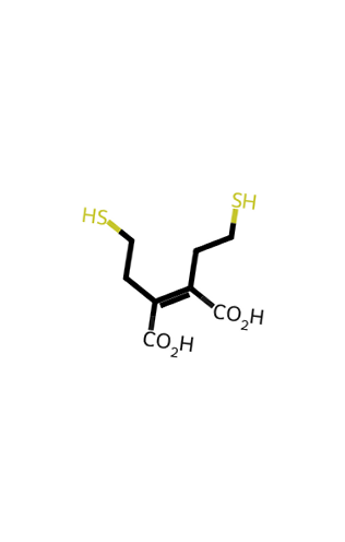 O=C(O)/C(CCS)=C(/CCS)C(=O)O